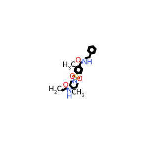 C=CC(=O)NC1(C)CCN(S(=O)(=O)c2ccc(C(=O)NCCc3ccccc3)c(C)c2)CC1